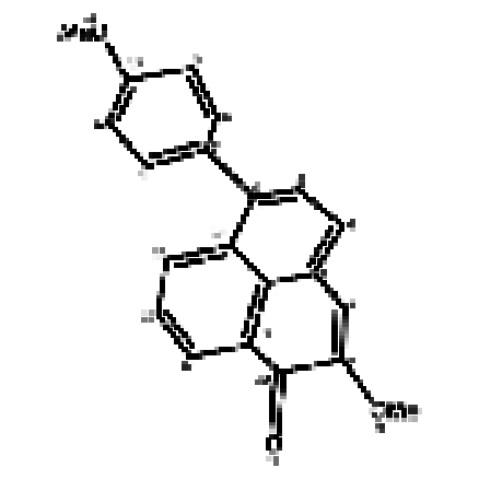 COC1=Cc2ccc(-c3ccc(OC)cc3)c3cccc(c23)C1=O